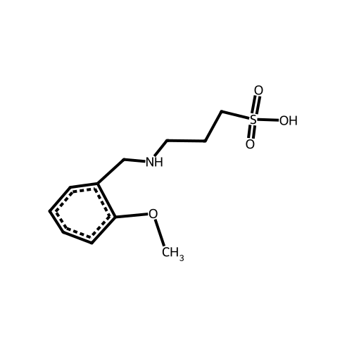 COc1ccccc1CNCCCS(=O)(=O)O